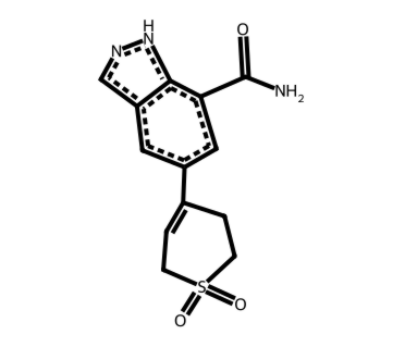 NC(=O)c1cc(C2=CCS(=O)(=O)CC2)cc2cn[nH]c12